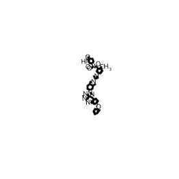 Cc1ccc(N2CC(N3CC4CCC(n5nc(-c6ccc(Oc7ccccc7)cc6)c6c(N)ncnc65)CC4C3)C2)cc1C(=O)N(C=O)C1CCC(=O)NC1=O